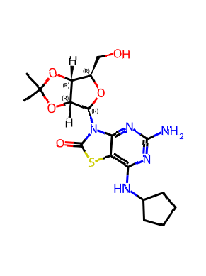 CC1(C)O[C@@H]2[C@H](O1)[C@@H](CO)O[C@H]2n1c(=O)sc2c(NC3CCCC3)nc(N)nc21